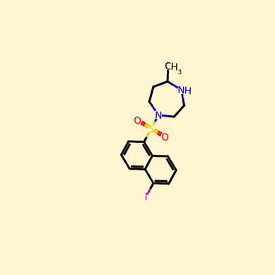 CC1CCN(S(=O)(=O)c2cccc3c(I)cccc23)CCN1